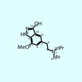 CCCN(CCC)CCc1cc(OC)c2[nH]nc(O)c2c1